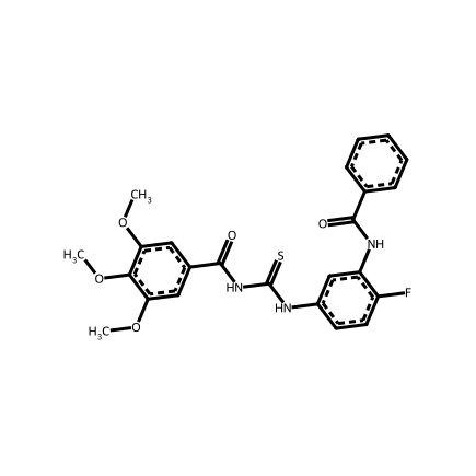 COc1cc(C(=O)NC(=S)Nc2ccc(F)c(NC(=O)c3ccccc3)c2)cc(OC)c1OC